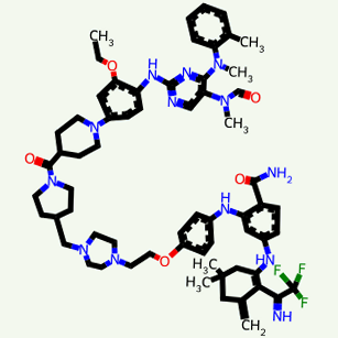 C=C1CC(C)(C)CC(Nc2ccc(C(N)=O)c(Nc3ccc(OCCN4CCN(CC5CCN(C(=O)C6CCN(c7ccc(Nc8ncc(N(C)C=O)c(N(C)c9ccccc9C)n8)c(OCC)c7)CC6)CC5)CC4)cc3)c2)=C1C(=N)C(F)(F)F